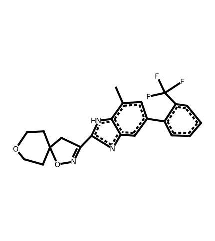 Cc1cc(-c2ccccc2C(F)(F)F)cc2nc(C3=NOC4(CCOCC4)C3)[nH]c12